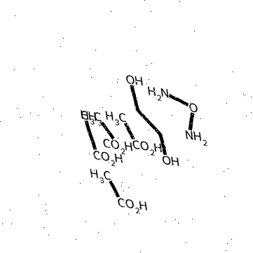 CC(=O)O.CC(=O)O.CC(=O)O.CC(=O)O.NON.OCCO